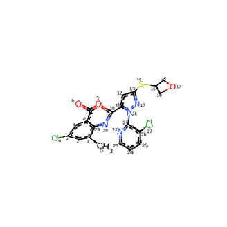 Cc1cc(Cl)cc2c(=O)oc(-c3cc(SC4COC4)nn3-c3ncccc3Cl)nc12